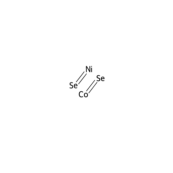 [Co]=[Se].[Ni]=[Se]